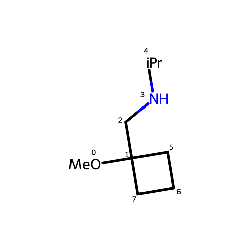 COC1(CNC(C)C)CCC1